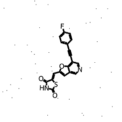 O=C1NC(=O)/C(=C/c2cc3cncc(C#Cc4ccc(F)cc4)c3o2)S1